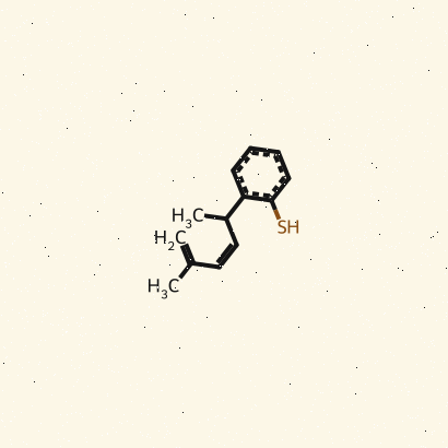 C=C(C)/C=C\C(C)c1ccccc1S